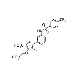 Cc1c(-c2cccc(NS(=O)(=O)c3ccc(C(F)(F)F)cc3)c2)sc(C(=O)O)c1OCC(=O)O